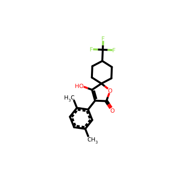 Cc1ccc(C)c(C2=C(O)C3(CCC(C(F)(F)F)CC3)OC2=O)c1